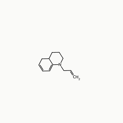 C=CCN1CCCC2CC=CC=C21